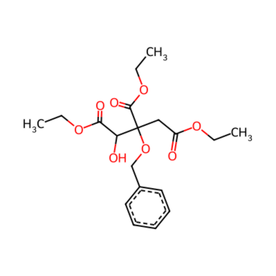 CCOC(=O)CC(OCc1ccccc1)(C(=O)OCC)C(O)C(=O)OCC